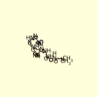 CN(C)C/C=C/C(=O)Nc1cccc(C(=O)NCCc2cc3c(-c4cnn5ncccc45)c(/C=C/C(=O)NCC4CCN(Cc5cc6c(-c7cnn8ncccc78)ccnc6[nH]5)C4)cnc3[nH]2)c1